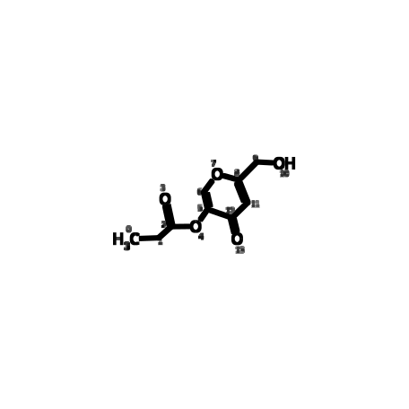 CCC(=O)Oc1coc(CO)cc1=O